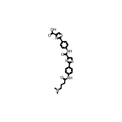 CN(C)CCCC(=O)Nc1ccc(-c2nc(C(=O)Nc3ccc(-c4nc(C(=O)O)cs4)cc3)cs2)cc1